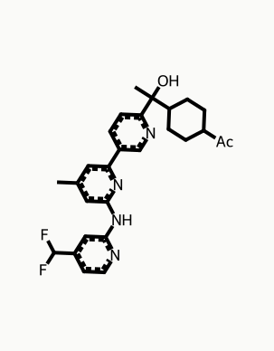 CC(=O)C1CCC(C(C)(O)c2ccc(-c3cc(C)cc(Nc4cc(C(F)F)ccn4)n3)cn2)CC1